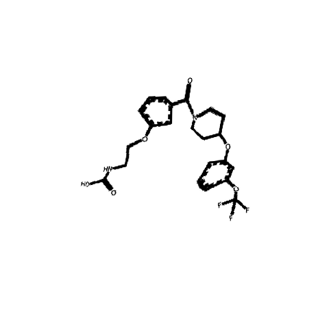 O=C(O)NCCOc1cccc(C(=O)N2CCC(Oc3cccc(OC(F)(F)F)c3)CC2)c1